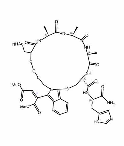 COC(=O)/C=C(\C(=O)OC)c1c2ccccc2c2n1CCCCC(CNC(C)=O)C(=O)N[C@@H](C)C(=O)N[C@@H](C)C(=O)N[C@@H](C)C(=O)N[C@H](C(=O)N[C@@H](Cc1cnc[nH]1)C(N)=O)CS2